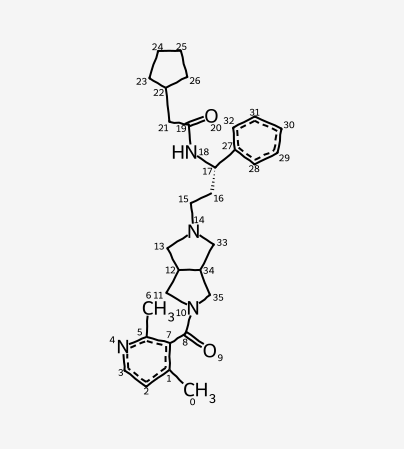 Cc1ccnc(C)c1C(=O)N1CC2CN(CC[C@H](NC(=O)CC3CCCC3)c3ccccc3)CC2C1